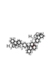 CC1(C)c2ccccc2-c2ccc(-c3ccc(N(C4=CCC(c5ccc6c(c5)C(C)(C)c5ccccc5-6)C=C4)c4ccccc4-c4ccccc4)cc3)cc21